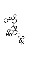 COc1ccc(-c2cc(=O)c3c(O)cc(OCC(=O)OC(C)(C)C)cc3o2)cc1OC1CCCC1